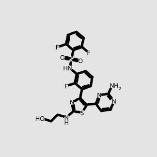 Nc1nccc(-c2sc(NCCO)nc2-c2cccc(NS(=O)(=O)c3c(F)cccc3F)c2F)n1